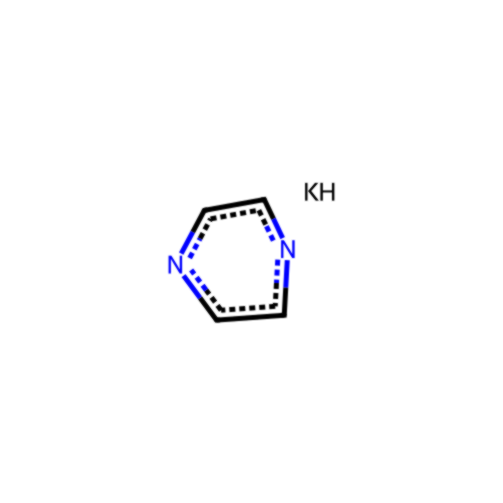 [KH].c1cnccn1